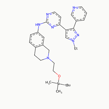 CCn1cc(-c2ccnc(Nc3ccc4c(c3)CN(CCO[Si](C)(C)C(C)(C)C)CC4)n2)c(-c2cccnc2)n1